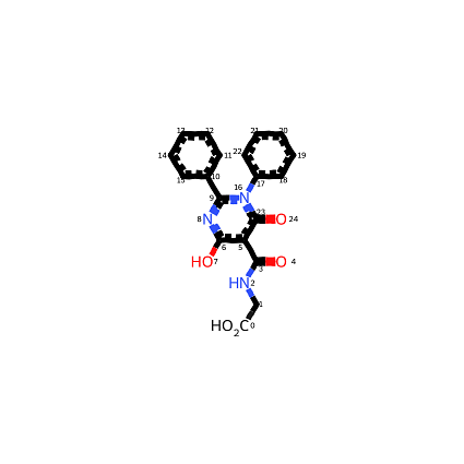 O=C(O)CNC(=O)c1c(O)nc(-c2ccccc2)n(-c2ccccc2)c1=O